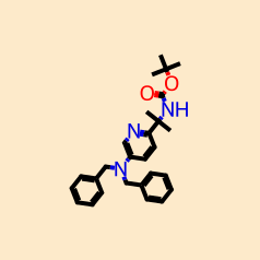 CC(C)(C)OC(=O)NC(C)(C)c1ccc(N(Cc2ccccc2)Cc2ccccc2)cn1